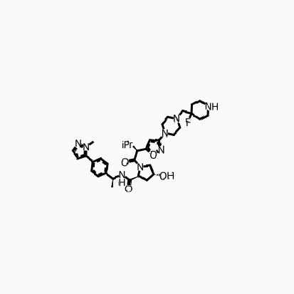 CC(C)[C@H](C(=O)N1C[C@H](O)C[C@H]1C(=O)N[C@@H](C)c1ccc(-c2ccnn2C)cc1)c1cc(N2CCN(CC3(F)CCNCC3)CC2)no1